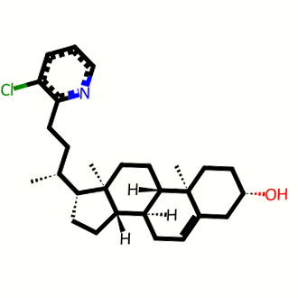 C[C@H](CCc1ncccc1Cl)[C@H]1CC[C@H]2[C@@H]3CC=C4C[C@@H](O)CC[C@]4(C)[C@H]3CC[C@]12C